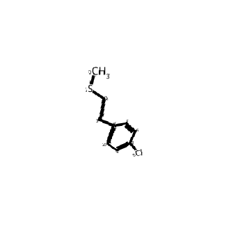 CSCCc1ccc(Cl)cc1